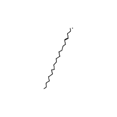 [CH2]CCC=CCCCCCCCCCCCCCCCC